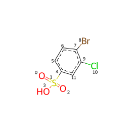 O=S(=O)(O)c1ccc(Br)c(Cl)c1